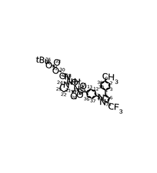 Cc1ccc(-c2cc(C(F)(F)F)nn2-c2ccc(S(=O)(=O)NC(=O)[C@@H]3CCCN3/[N+]([O-])=N\OCOC(=O)OC(C)(C)C)cc2)cc1